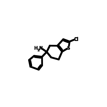 NC1(c2ccccc2)CCc2sc(Cl)cc2C1